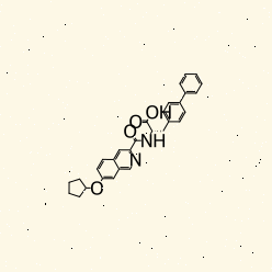 O=C(N[C@@H](Cc1ccc(-c2ccccc2)cc1)C(=O)O)c1cc2ccc(OC3CCCC3)cc2cn1